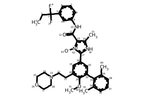 CCC(F)(F)c1cccc(NC(=O)c2c(C)[nH]c(-c3cc(CCN4CCOCC4)c(OC)c(-c4c(C)cccc4C)c3)[n+]2[O-])c1